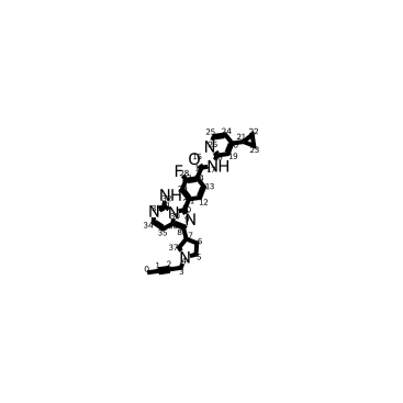 CC#CCN1CCC(c2nc(-c3ccc(C(=O)Nc4cc(C5CC5)ccn4)c(F)c3)n3c(N)nccc23)C1